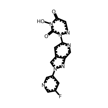 O=c1cnn(-c2cc3cn(-c4cncc(F)c4)nc3cn2)c(=O)n1O